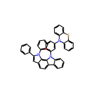 c1ccc(-c2cc3ccc4c5ccccc5n(-c5cccc(N6c7ccccc7Sc7ccccc76)c5)c4c3n2-c2ccccc2)cc1